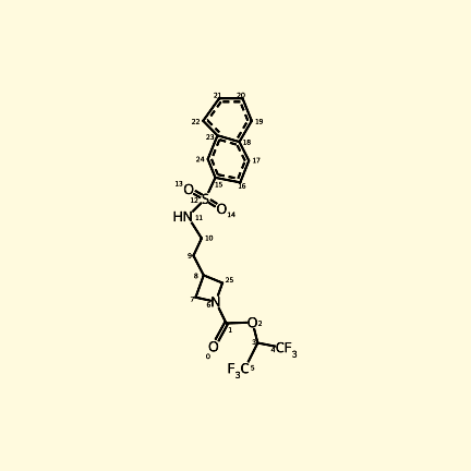 O=C(OC(C(F)(F)F)C(F)(F)F)N1CC(CCNS(=O)(=O)c2ccc3ccccc3c2)C1